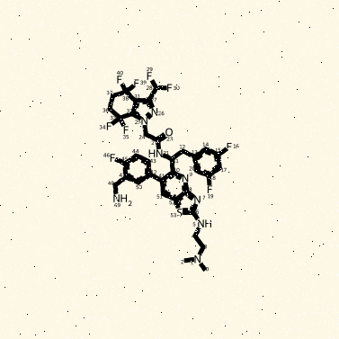 CN(C)CCNc1nc2nc(C(Cc3cc(F)cc(F)c3)NC(=O)Cn3nc(C(F)F)c4c3C(F)(F)CCC4(F)F)c(-c3ccc(F)c(CN)c3)cc2s1